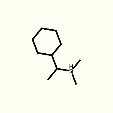 CC(C1CCCCC1)[SiH](C)C